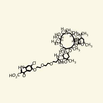 CC[C@H]1OC(=O)[C@H](C)[C@@H](O[C@H]2C[C@@](C)(OC)[C@@H](OC(=O)CCOCCOCCOc3cc4c(=O)c(C(=O)O)c[nH]c4cc3Cl)[C@H](C)O2)[C@H](C)[C@@H](O[C@@H]2O[C@H](C)C[C@H](N(C)C)[C@H]2O)[C@](C)(O)C[C@@H](C)CN(C)[C@H](C)[C@@H](O)[C@]1(C)O